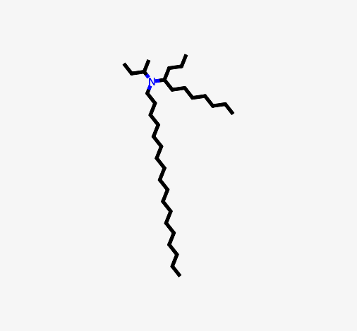 CCCCCCCCCCCCCCCCCCN(C(C)CC)C(CCC)CCCCCCC